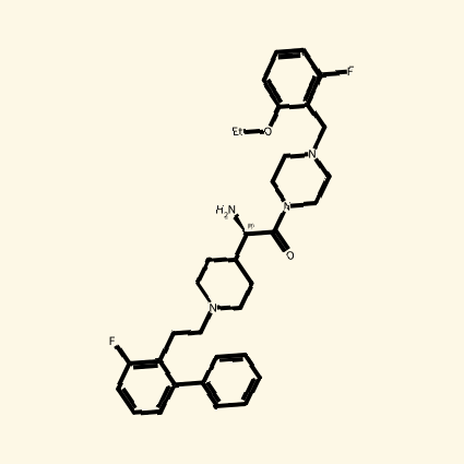 CCOc1cccc(F)c1CN1CCN(C(=O)[C@H](N)C2CCN(CCc3c(F)cccc3-c3ccccc3)CC2)CC1